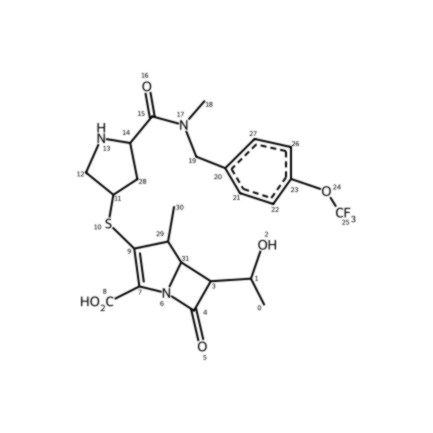 CC(O)C1C(=O)N2C(C(=O)O)=C(SC3CNC(C(=O)N(C)Cc4ccc(OC(F)(F)F)cc4)C3)C(C)C12